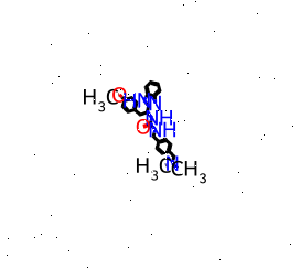 COc1ccc(CC(NC(=O)NCc2ccc(CN(C)C)cc2)c2nc3ccccc3[nH]2)cc1